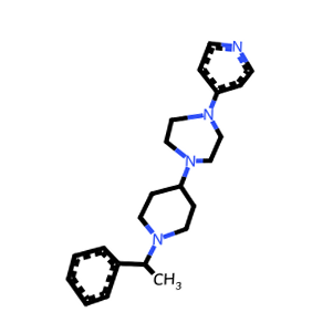 CC(c1ccccc1)N1CCC(N2CCN(c3ccncc3)CC2)CC1